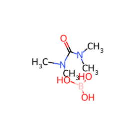 CN(C)C(=O)N(C)C.OB(O)O